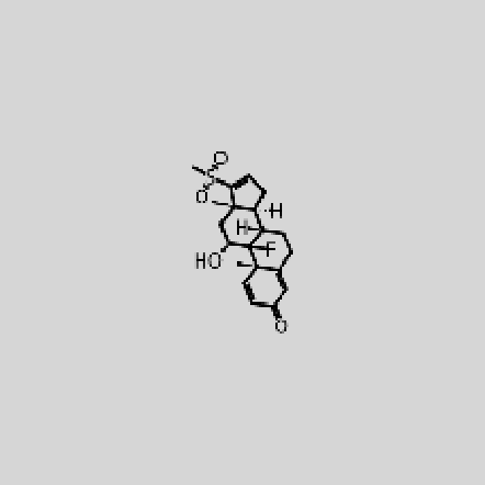 C[C@]12C=CC(=O)C=C1CC[C@H]1[C@@H]3CC=C(S(C)(=O)=O)[C@@]3(C)C[C@H](O)C12F